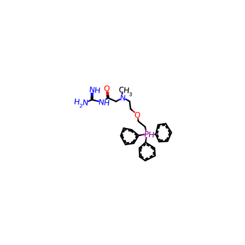 CN(CCOCC[PH](c1ccccc1)(c1ccccc1)c1ccccc1)CC(=O)NC(=N)N